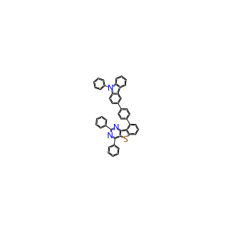 c1ccc(-c2nc(-c3ccccc3)c3sc4cccc(-c5ccc(-c6ccc7c(c6)c6ccccc6n7-c6ccccc6)cc5)c4c3n2)cc1